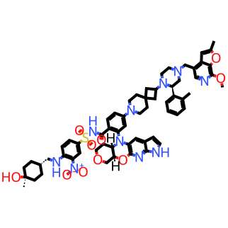 COc1ncc(CN2CCN(C3CC4(CCN(c5ccc(C(=O)NS(=O)(=O)c6ccc(NC[C@H]7CC[C@](C)(O)CC7)c([N+](=O)[O-])c6)c(N6c7cc8cc[nH]c8nc7O[C@H]7COCC[C@@H]76)c5)CC4)C3)[C@H](c3ccccc3C)C2)c2cc(C)oc12